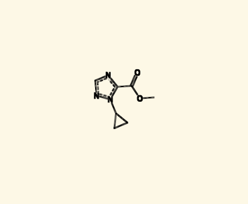 COC(=O)c1ncnn1C1CC1